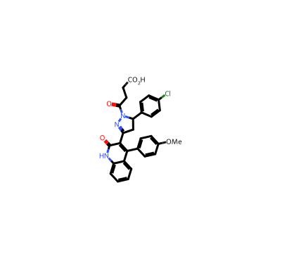 COc1ccc(-c2c(C3=NN(C(=O)CCC(=O)O)C(c4ccc(Cl)cc4)C3)c(=O)[nH]c3ccccc23)cc1